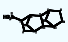 O=S(=O)(O)C1CC2CC1C1C3CCC(C3)C21